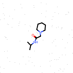 CC(C)NC(=O)CN1CCCCC1